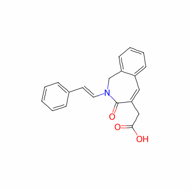 O=C(O)CC1=Cc2ccccc2CN(C=Cc2ccccc2)C1=O